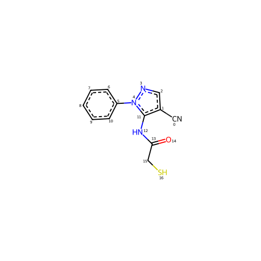 N#Cc1cnn(-c2ccccc2)c1NC(=O)CS